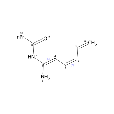 C=C/C=C\C=C(/N)NC(=O)CCC